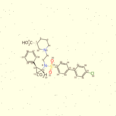 O=C(O)[C@@H]1CCCN(CCN([C@]2(C(=O)O)C[C@H]2c2ccccc2)S(=O)(=O)c2ccc(-c3ccc(Cl)cc3)cc2)C1